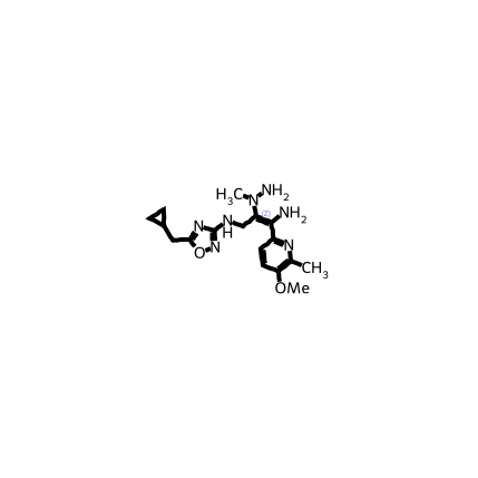 COc1ccc(/C(N)=C(\CNc2noc(CC3CC3)n2)N(C)N)nc1C